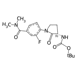 CN(C)C(=O)c1ccc(N2CC[C@H](NC(=O)OC(C)(C)C)C2=O)c(F)c1